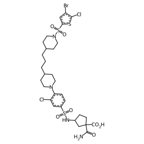 NC(=O)C1(C(=O)O)CCC(NS(=O)(=O)c2ccc(N3CCC(CCCC4CCN(S(=O)(=O)c5cc(Br)c(Cl)s5)CC4)CC3)c(Cl)c2)C1